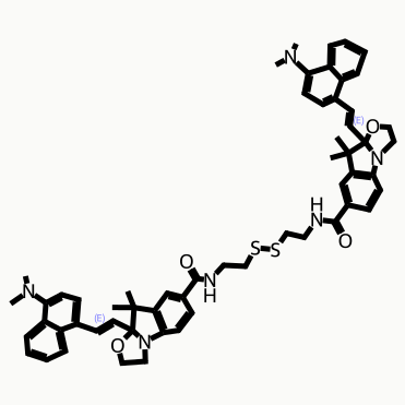 CN(C)c1ccc(/C=C/C23OCCN2c2ccc(C(=O)NCCSSCCNC(=O)c4ccc5c(c4)C(C)(C)C4(/C=C/c6ccc(N(C)C)c7ccccc67)OCCN54)cc2C3(C)C)c2ccccc12